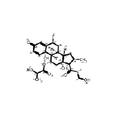 CC(O)C(=O)O[C@H]1C[C@]2(C)[C@H](C(=O)SCO)[C@H](C)C[C@H]2[C@@H]2C[C@H](F)C3=CC(=O)C=C[C@]3(C)[C@@]12F